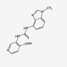 COc1ccncc1NC(=S)Nc1cccc2c1ncn2C